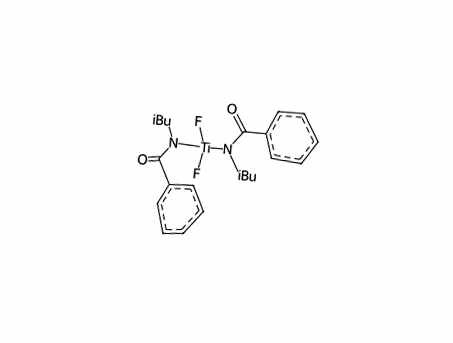 CCC(C)[N](C(=O)c1ccccc1)[Ti]([F])([F])[N](C(=O)c1ccccc1)C(C)CC